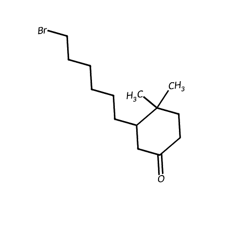 CC1(C)CCC(=O)CC1CCCCCCBr